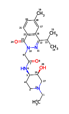 CCN1CC[C@@H](NC(=O)Cn2nc(C(C)C)c3cc(C)ccc3c2=O)[C@@H](O)C1